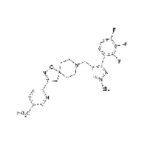 CC(C)(C)n1cc(CN2CCC3(CC2)CC(c2ccc(C(=O)O)cn2)=NO3)c(-c2ccc(F)c(F)c2F)n1